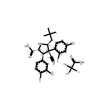 CC(C)(C)C[C@@H]1N[C@@H](C(=O)O)[C@H](c2ccc(F)c(Cl)c2)[C@@]1(C#N)c1ccc(Cl)cc1F.O=C(O)C(F)(F)F